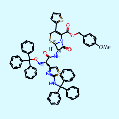 COc1ccc(COC(=O)C2=C(c3cccs3)CS[C@@H]3[C@H](NC(=O)/C(=N\OC(c4ccccc4)(c4ccccc4)c4ccccc4)c4csc(NC(c5ccccc5)(c5ccccc5)c5ccccc5)n4)C(=O)N23)cc1